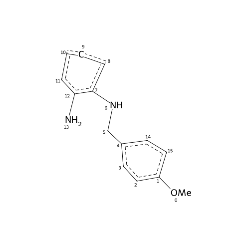 COc1ccc(CNc2ccccc2N)cc1